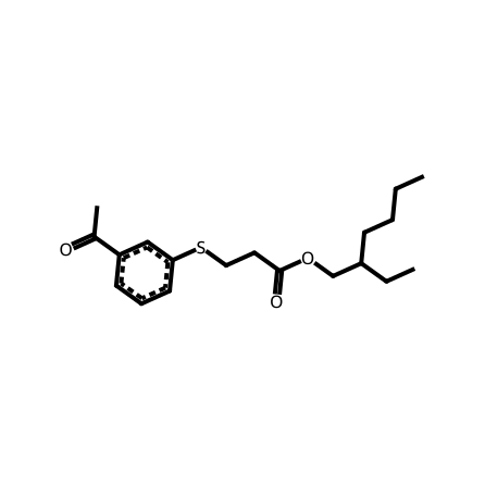 CCCCC(CC)COC(=O)CCSc1cccc(C(C)=O)c1